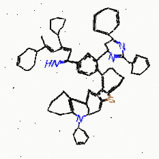 C/C(=C\C(=C/C(=N)c1ccc(C2=c3c(sc4c3=CC3C5=C(CCCC5)N(C5C=CC=CC5)C3C=4)=CCC2)c(C2CC(C3=CCCC=C3)=NC(C3=CC=CCC3)=N2)c1)C1CCCCC1)C1CC=CCC1